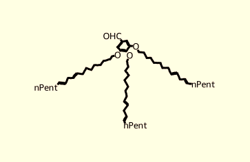 CCCCCC=CCC=CCCCCCCCCOc1cc(C=O)cc(OCCCCCCCCC=CCC=CCCCCC)c1OCCCCCCCCC=CCC=CCCCCC